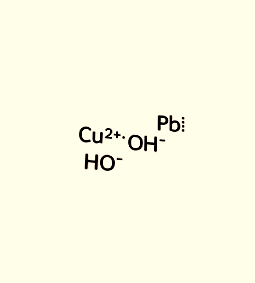 [Cu+2].[OH-].[OH-].[Pb]